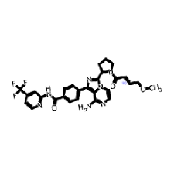 COC/C=C/C(=O)N1CCCC1c1nc(-c2ccc(C(=O)Nc3cc(C(F)(F)F)ccn3)cc2)c2c(N)nccn12